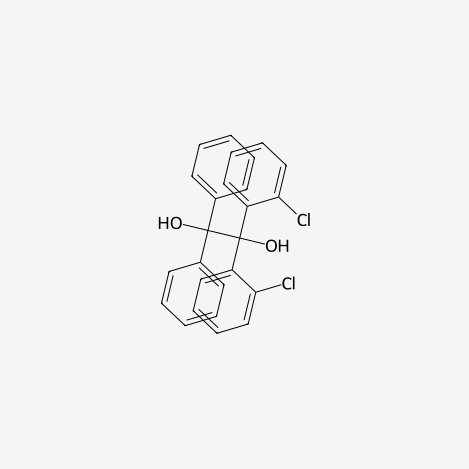 OC(c1ccccc1)(c1ccccc1)C(O)(c1ccccc1Cl)c1ccccc1Cl